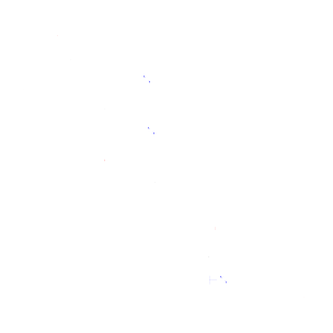 COCCNC(=O)c1cccc2cc(Oc3ncnc4cc(OC)c(OC)cc34)ccc12